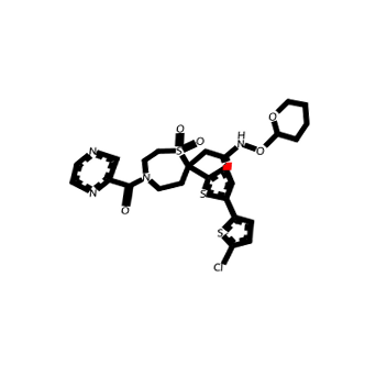 O=C(CC1(c2ccc(-c3ccc(Cl)s3)s2)CCN(C(=O)c2cnccn2)CCS1(=O)=O)NOC1CCCCO1